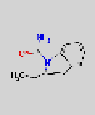 [CH2]Cc1cc2ccccc2n1C(N)=O